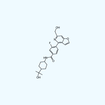 CC(C)(O)C1CCC(NC(=O)c2ccc(-c3nc(CO)cc4occc34)c(F)c2)CC1